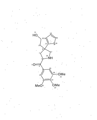 COc1cc(C(=O)C2CC(CCO)(c3cccs3)CN2)cc(OC)c1OC